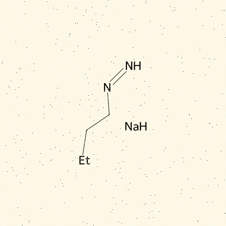 CCCCN=N.[NaH]